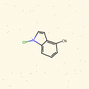 N#Cc1cccc2c1ccn2Cl